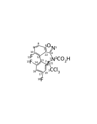 O=C(O)N(CC(Cl)(Cl)Cl)c1noc2ccc(F)c(-c3c(F)cc(F)cc3F)c12